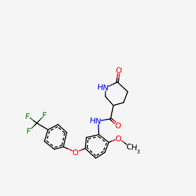 COc1ccc(Oc2ccc(C(F)(F)F)cc2)cc1NC(=O)C1CCC(=O)NC1